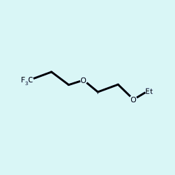 CCOC[CH]OCCC(F)(F)F